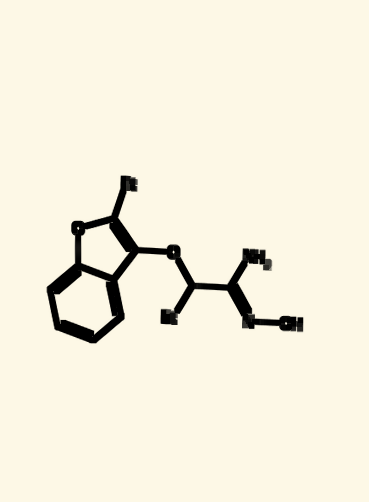 CCc1oc2ccccc2c1OC(CC)C(N)=NO